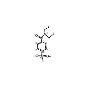 CCN(CC)C(=O)c1ccc(S(C)(=O)=O)cc1